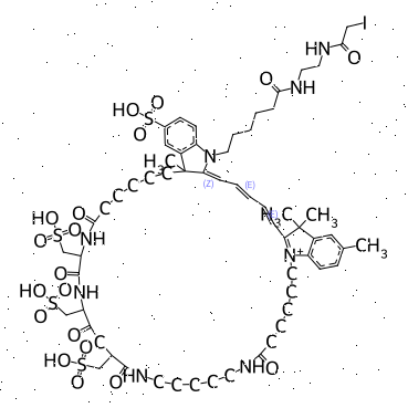 Cc1ccc2c(c1)C(C)(C)C1=[N+]2CCCCCC(=O)NCCCCCNC(=O)C(CS(=O)(=O)O)CC(=O)C(CS(=O)(=O)O)NC(=O)C(CS(=O)(=O)O)NC(=O)CCCCCC2(C)/C(=C/C=C/C=C/1)N(CCCCCC(=O)NCCNC(=O)CI)c1ccc(S(=O)(=O)O)cc12